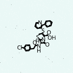 O=C(Cc1ccc(Cl)cc1)N[C@@H]1C(=O)N2C(C(=O)O)=C(Sc3cccnc3-c3ccccc3)CS[C@H]12